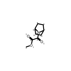 COC(=O)C(=O)N1C2CCC1CC2